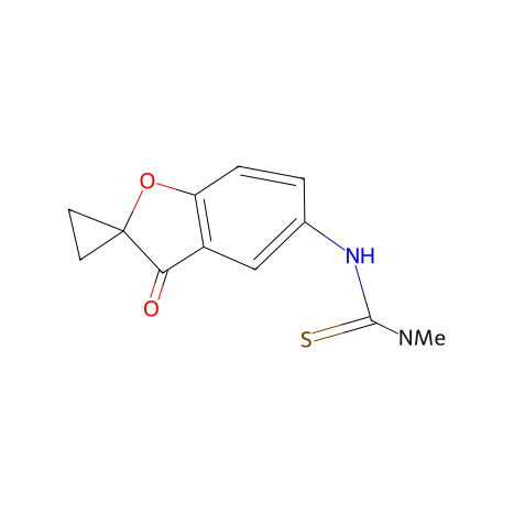 CNC(=S)Nc1ccc2c(c1)C(=O)C1(CC1)O2